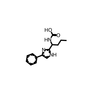 CCCC(NC(=O)O)c1nc(-c2ccccc2)c[nH]1